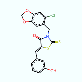 O=C1C(=Cc2cccc(O)c2)SC(=S)N1Cc1cc2c(cc1Cl)OCO2